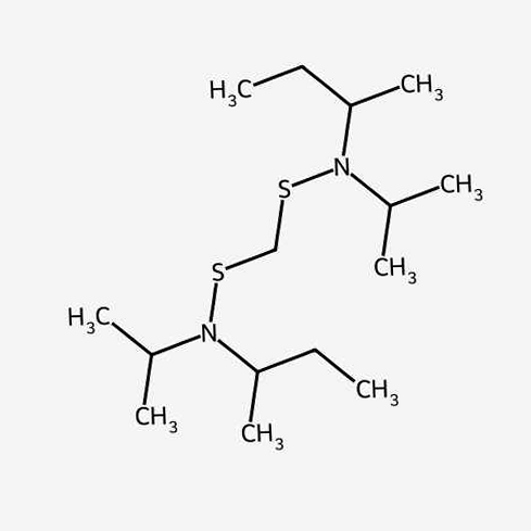 CCC(C)N(SCSN(C(C)C)C(C)CC)C(C)C